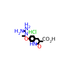 CC(N=C(N)N)Oc1ccc2c(c1)NC(=O)C(CC(=O)O)C2.Cl